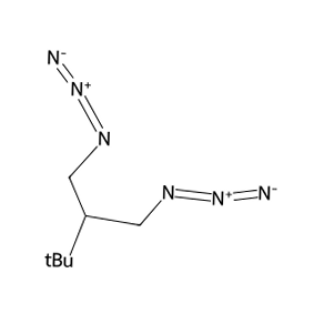 CC(C)(C)C(CN=[N+]=[N-])CN=[N+]=[N-]